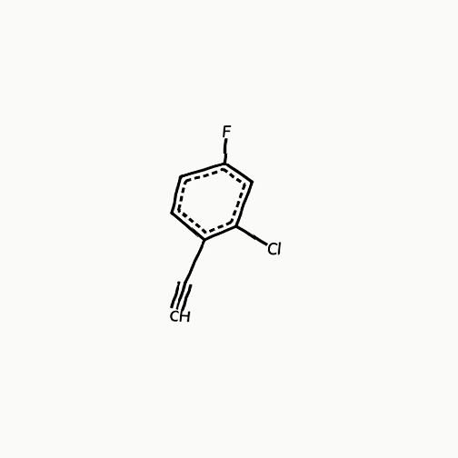 C#Cc1ccc(F)cc1Cl